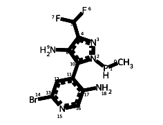 CPn1nc(C(F)F)c(N)c1-c1cc(Br)ncc1N